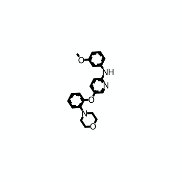 COc1cccc(Nc2ccc(Oc3ccccc3N3CCOCC3)cn2)c1